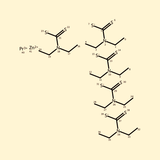 CCN(CC)C(=S)[S-].CCN(CC)C(=S)[S-].CCN(CC)C(=S)[S-].CCN(CC)C(=S)[S-].CCN(CC)C(=S)[S-].[Pr+3].[Zn+2]